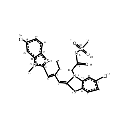 CC/C(C=C1Sc2ccc(Cl)cc2N1CC(=O)NS(C)(=O)=O)=C\c1sc2ccc(Cl)cc2[n+]1C